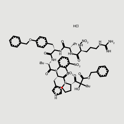 CCC(C)C(O)(C(=O)OCc1ccccc1)C(=O)[C@@H]1CCCN1C(=O)[C@H](Cc1c[nH]cn1)N(C(=O)[C@@H](NC(=O)[C@H](Cc1ccc(OCc2ccccc2)cc1)NC(=O)[C@@H](NC(=O)[C@H](CCCNC(=N)N)N[N+](=O)[O-])C(C)C)[C@@H](C)CC)c1cccc([N+](=O)[O-])c1[N+](=O)[O-].Cl